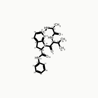 CN[C@@H](C)C(=O)N[C@H](C(=O)N1c2ncccc2C[C@@H]1C(=O)Nc1ccccc1)C(C)C